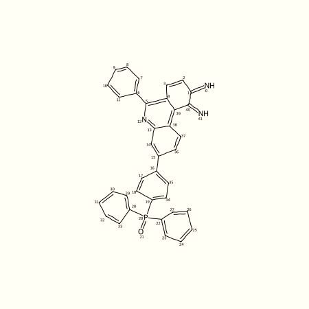 N=C1C=Cc2c(-c3ccccc3)nc3cc(-c4ccc(P(=O)(c5ccccc5)c5ccccc5)cc4)ccc3c2C1=N